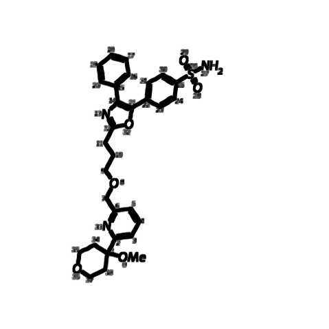 COC1(c2cccc(COCCCc3nc(-c4ccccc4)c(-c4ccc(S(N)(=O)=O)cc4)o3)n2)CCOCC1